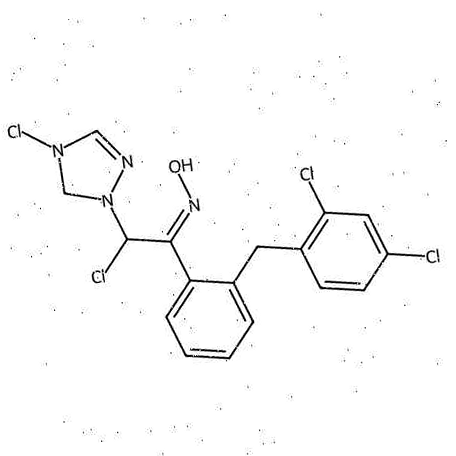 ON=C(c1ccccc1Cc1ccc(Cl)cc1Cl)C(Cl)N1CN(Cl)C=N1